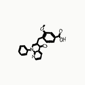 COc1cc(C(=O)O)ccc1Cc1cn(-c2ccccc2)c2ncccc2c1=O